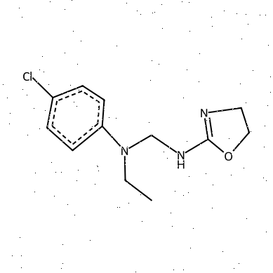 CCN(CNC1=NCCO1)c1ccc(Cl)cc1